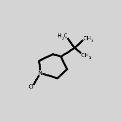 CC(C)(C)C1CCN(Cl)CC1